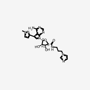 Cn1ccc(-c2cn([C@@H]3O[C@H](C(=O)NCCCn4ccnc4)[C@@H](O)[C@H]3O)c3ncnc(N)c23)n1